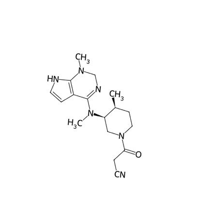 C[C@H]1CCN(C(=O)CC#N)C[C@H]1N(C)C1=NCN(C)c2[nH]ccc21